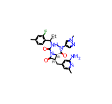 CCC(NC(=O)N1C(=O)[C@H](Cc2cc(C)nc(N)c2)[C@H]1C(=O)N(C)c1cnn(C)c1)c1ccc(C)cc1F